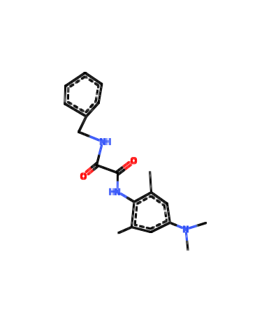 Cc1cc(N(C)C)cc(C)c1NC(=O)C(=O)NCc1ccccc1